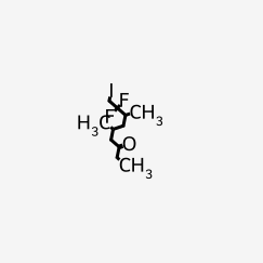 CCC(=O)CC(C)CC(C)C(F)(F)CI